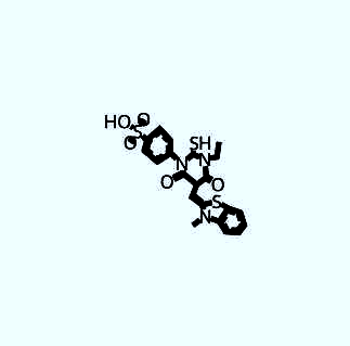 CCN1C(=O)C(C=C2Sc3ccccc3N2C)C(=O)N(c2ccc(S(=O)(=O)O)cc2)C1S